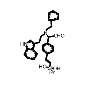 CC(C)[Si](O)(O)C=Cc1ccc(C(C=O)N(CCc2ccccc2)CCc2c[nH]c3ccccc23)cc1